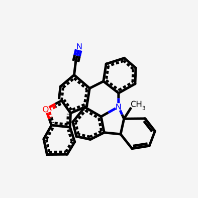 CC12C=CC=CC1c1ccccc1N2c1ccccc1-c1cc2c(cc1C#N)oc1ccccc12